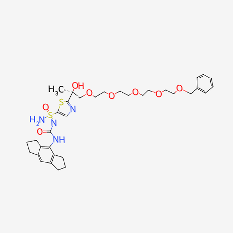 C[C@](O)(COCCOCCOCCOCCOCc1ccccc1)c1ncc(S(N)(=O)=NC(=O)Nc2c3c(cc4c2CCC4)CCC3)s1